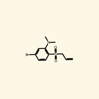 C=CCS(=O)(=O)c1ccc(Br)cc1N(C)C